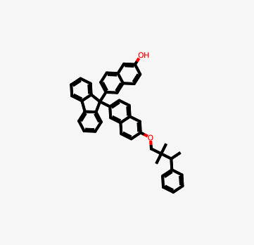 CC(c1ccccc1)C(C)(C)COc1ccc2cc(C3(c4ccc5cc(O)ccc5c4)c4ccccc4-c4ccccc43)ccc2c1